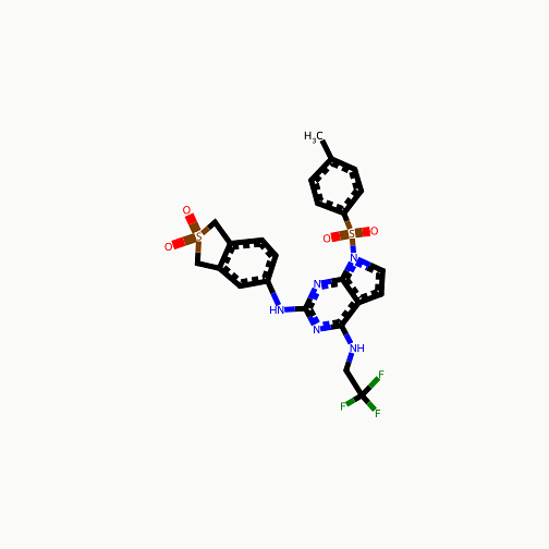 Cc1ccc(S(=O)(=O)n2ccc3c(NCC(F)(F)F)nc(Nc4ccc5c(c4)CS(=O)(=O)C5)nc32)cc1